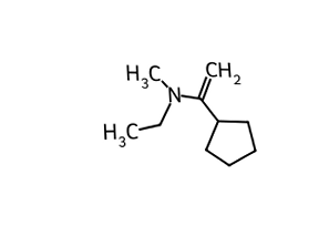 C=C(C1CCCC1)N(C)CC